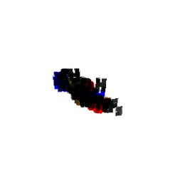 CO[C@@]1(NC(=O)C[S+]([O-])CC(F)(F)F)C(=O)N2C(C(=O)O)=C(CSc3nnnn3C)CS[C@@H]21